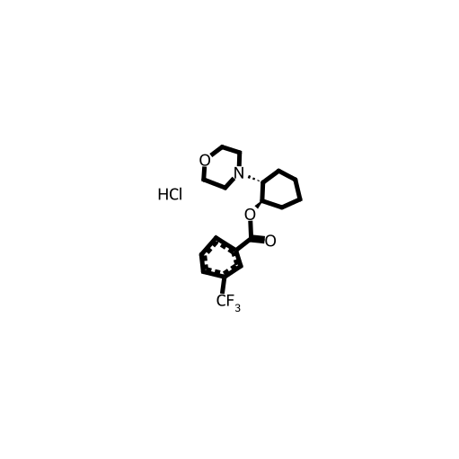 Cl.O=C(O[C@@H]1CCCC[C@H]1N1CCOCC1)c1cccc(C(F)(F)F)c1